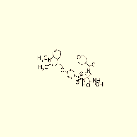 CC1=CC(COc2ccc(S(=O)(=O)NC3(C(=O)NO)CN(C(=O)C4CCOCC4)C3)cc2)=C2C=CC=CC2N1C